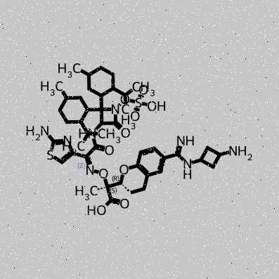 CC1CCC(C(C)C)C(C2(C3CC(C)CCC3C(C)C)C(NC(=O)/C(=N\O[C@](C)(C(=O)O)[C@H]3CCc4cc(C(=N)NC5CC(N)C5)ccc4O3)c3csc(N)n3)C(=O)N2OS(=O)(=O)O)C1